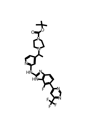 CC(c1ccnc(Nc2nc3ccc(-c4cc(C(F)(F)F)ncn4)c(F)c3[nH]2)c1)N1CCN(C(=O)OC(C)(C)C)CC1